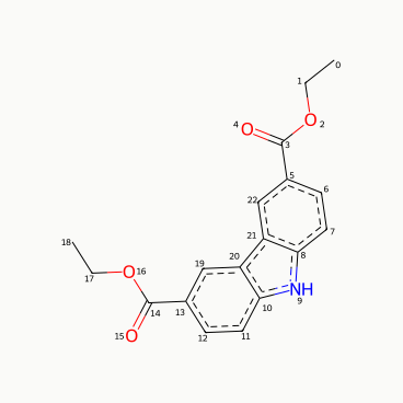 CCOC(=O)c1ccc2[nH]c3ccc(C(=O)OCC)cc3c2c1